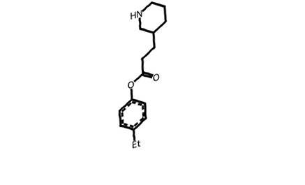 CCc1ccc(OC(=O)CCC2CCCNC2)cc1